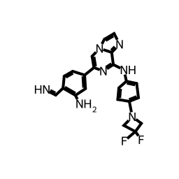 N=Cc1ccc(-c2cn3ccnc3c(Nc3ccc(N4CC(F)(F)C4)cc3)n2)cc1N